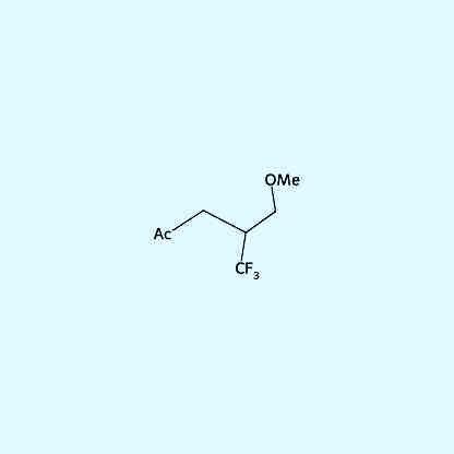 COCC(CC(C)=O)C(F)(F)F